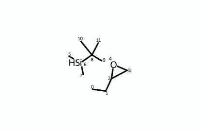 CCC1CO1.C[SiH](C)C(C)(C)C